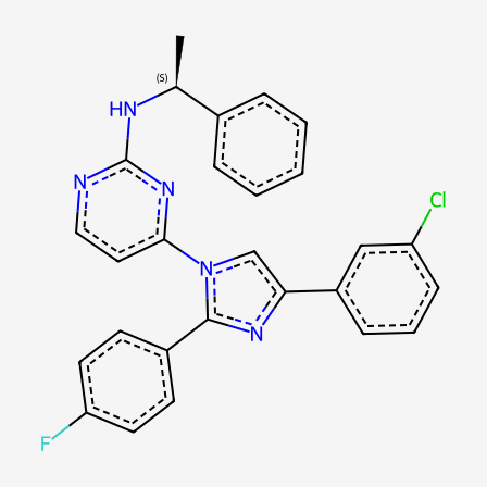 C[C@H](Nc1nccc(-n2cc(-c3cccc(Cl)c3)nc2-c2ccc(F)cc2)n1)c1ccccc1